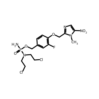 Cn1c([N+](=O)[O-])cnc1COc1ccc(COP(N)(=O)N(CCCl)CCCl)cc1F